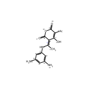 CC(=O)C1=C(O)/C(=C(\C)Nc2cc(N)cc(N)c2)C(=O)OC1=O